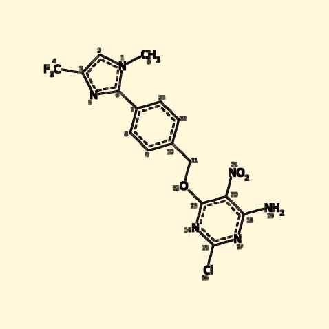 Cn1cc(C(F)(F)F)nc1-c1ccc(COc2nc(Cl)nc(N)c2[N+](=O)[O-])cc1